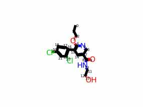 CCCOc1ncc(C(=O)NCCO)cc1-c1ccc(Cl)cc1Cl